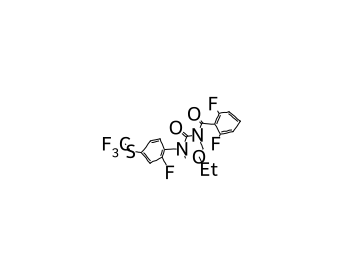 CCOCN(C(=O)c1c(F)cccc1F)C(=O)N(C)c1ccc(SC(F)(F)F)cc1F